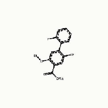 CCOc1cc(-c2ccccc2F)c(Br)cc1C(=O)OC